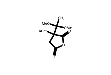 CCCCCCCCC1(C(C)(OC)OC)CC(=O)OC1=O